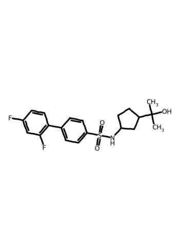 CC(C)(O)C1CCC(NS(=O)(=O)c2ccc(-c3ccc(F)cc3F)cc2)C1